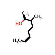 C=C(O)C(C)CC/C=C\C